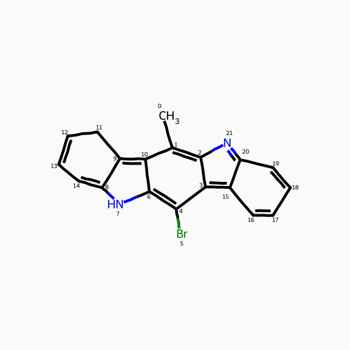 Cc1c2c(c(Br)c3[nH]c4c(c13)CC=CC=4)=c1ccccc1=N2